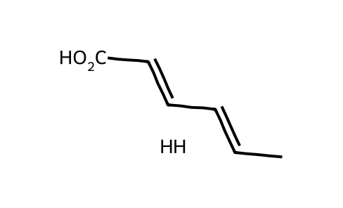 CC=CC=CC(=O)O.[HH]